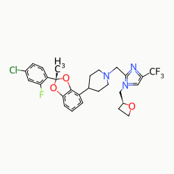 C[C@]1(c2ccc(Cl)cc2F)Oc2cccc(C3CCN(Cc4nc(C(F)(F)F)cn4C[C@@H]4CCO4)CC3)c2O1